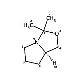 CC1(C)OC[C@H]2CCCN21